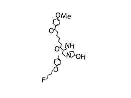 COc1ccc(C(=O)CCCCCC(=O)C(C=N)[C@@H](Cc2ccc(OCCCCF)cc2)CN2CC[C@H](O)C2)cc1